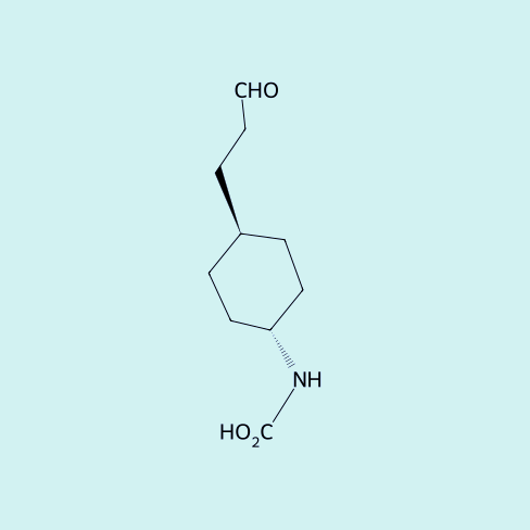 O=CCC[C@H]1CC[C@H](NC(=O)O)CC1